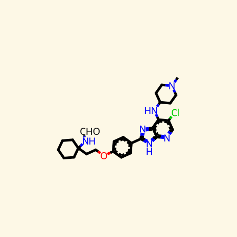 CN1CCC(Nc2c(Cl)cnc3[nH]c(-c4ccc(OCCC5(NC=O)CCCCC5)cc4)nc23)CC1